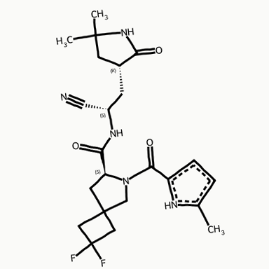 Cc1ccc(C(=O)N2CC3(C[C@H]2C(=O)N[C@H](C#N)C[C@@H]2CC(C)(C)NC2=O)CC(F)(F)C3)[nH]1